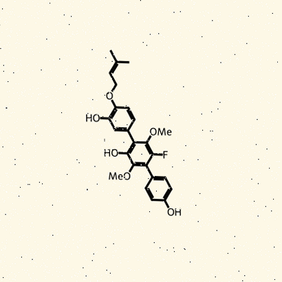 COc1c(F)c(-c2ccc(O)cc2)c(OC)c(O)c1-c1ccc(OCC=C(C)C)c(O)c1